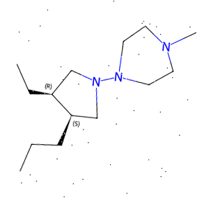 CCC[C@@H]1CN(N2CCN(C)CC2)C[C@@H]1CC